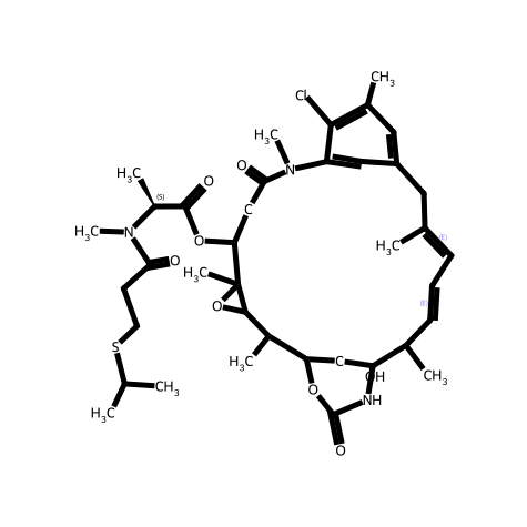 C/C1=C\C=C\C(C)C2(O)CC(OC(=O)N2)C(C)C2OC2(C)C(OC(=O)[C@H](C)N(C)C(=O)CCSC(C)C)CC(=O)N(C)c2cc(cc(C)c2Cl)C1